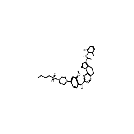 CCCCS(=O)(=O)N1CCN(c2ccc(Nc3ncc4c(n3)-n3ccc(C(=O)Nc5c(C)cccc5C)c3CC4)c(OC)c2)CC1